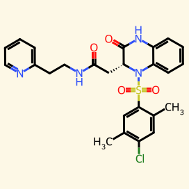 Cc1cc(S(=O)(=O)N2c3ccccc3NC(=O)[C@H]2CC(=O)NCCc2ccccn2)c(C)cc1Cl